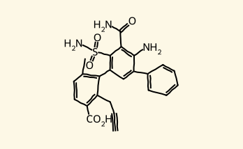 C#CCc1c(C(=O)O)ccc(C)c1-c1cc(-c2ccccc2)c(N)c(C(N)=O)c1S(N)(=O)=O